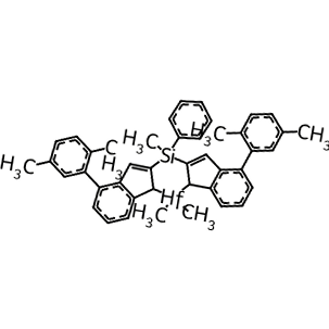 Cc1ccc(C)c(-c2cccc3c2C=C2[CH]3[Hf]([CH3])([CH3])[CH]3C(=Cc4c(-c5cc(C)ccc5C)cccc43)[Si]2(C)c2ccccc2)c1